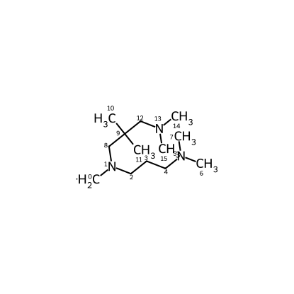 [CH2]N(CCCN(C)C)CC(C)(C)CN(C)C